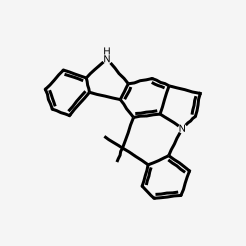 CC1(C)c2ccccc2-n2ccc3cc4[nH]c5ccccc5c4c1c32